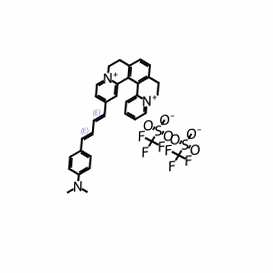 CN(C)c1ccc(/C=C/C=C/c2cc[n+]3c(c2)-c2c(ccc4c2-c2cccc[n+]2CC4)CC3)cc1.O=S(=O)([O-])C(F)(F)F.O=S(=O)([O-])C(F)(F)F